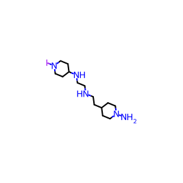 NN1CCC(CCNCCNC2CCN(I)CC2)CC1